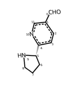 O=Cc1ccc([C@@H]2CCCN2)nc1